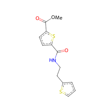 COC(=O)c1ccc(C(=O)NCCc2cccs2)s1